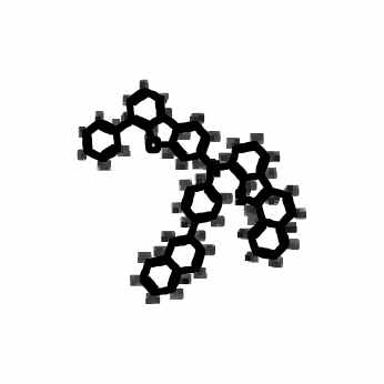 c1ccc(-c2cccc3c2oc2cc(N(c4ccc(-c5ccc6ccccc6c5)cc4)c4cccc5c4sc4c6ccccc6ccc54)ccc23)cc1